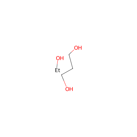 CCO.OCCCO